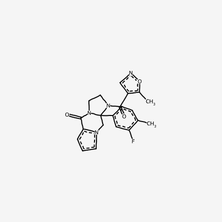 Cc1ccc(C23Cn4cccc4C(=O)N2CCN3C(=O)c2cnoc2C)cc1F